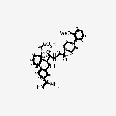 COc1ccccc1N1CCN(C(=O)CNC(=O)C(Nc2cccc(C(=N)N)c2)c2ccccc2OCC(=O)O)CC1